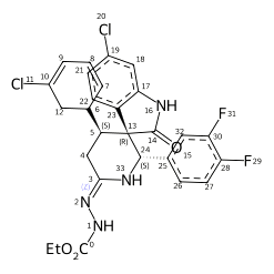 CCOC(=O)N/N=C1/C[C@@H](C2C=CC=C(Cl)C2)[C@]2(C(=O)Nc3cc(Cl)ccc32)[C@H](c2ccc(F)c(F)c2)N1